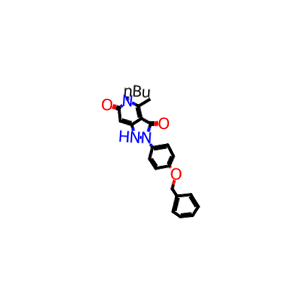 CCCCn1c(C)c2c(=O)n(-c3ccc(OCc4ccccc4)cc3)[nH]c2cc1=O